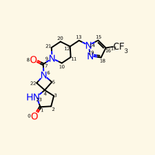 O=C1CCC2(CN(C(=O)N3CCC(Cn4cc(C(F)(F)F)cn4)CC3)C2)N1